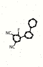 N#Cc1cc(C#N)c(F)c(-c2cccc(-c3ccccc3)c2)c1